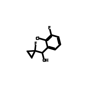 OC(c1cccc(F)c1Cl)C1(F)CC1